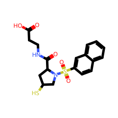 O=C(O)CCNC(=O)C1CC(S)CN1S(=O)(=O)c1ccc2ccccc2c1